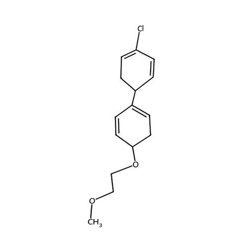 COCCOC1C=CC(C2C=CC(Cl)=CC2)=CC1